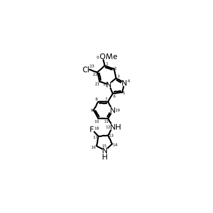 COc1cc2ncc(-c3cccc(NC4CNCC4F)n3)n2cc1Cl